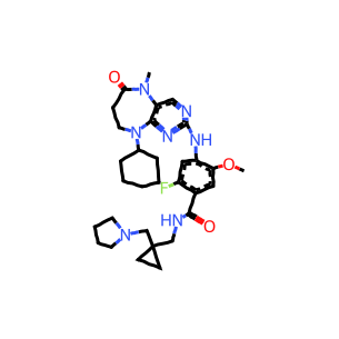 COc1cc(C(=O)NCC2(CN3CCCC3)CC2)c(F)cc1Nc1ncc2c(n1)N(C1CCCCC1)CCC(=O)N2C